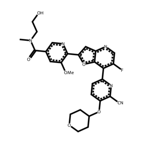 COc1cc(C(=O)N(C)CCO)cnc1-c1cc2ncc(F)c(-c3ccc(OC4CCOCC4)c(C#N)n3)c2o1